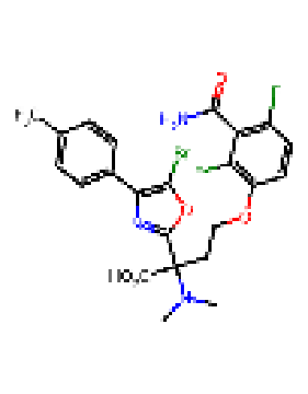 CN(C)C(CCOc1ccc(F)c(C(N)=O)c1F)(C(=O)O)c1nc(-c2ccc(C(F)(F)F)cc2)c(Br)o1